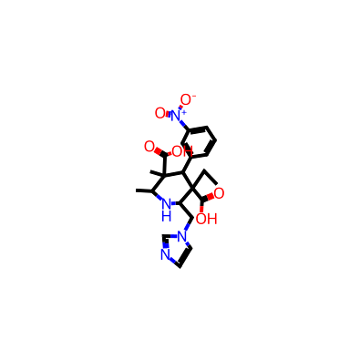 CCC1(C(=O)O)C(Cn2ccnc2)NC(C)C(C)(C(=O)O)C1c1cccc([N+](=O)[O-])c1